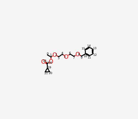 CC(OCCOCCOCc1ccccc1)OC(=O)C1CC1